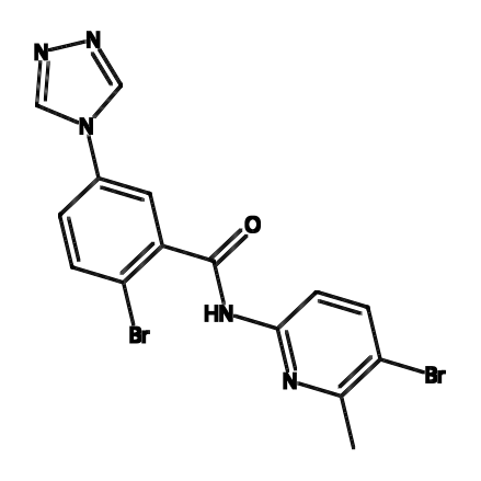 Cc1nc(NC(=O)c2cc(-n3cnnc3)ccc2Br)ccc1Br